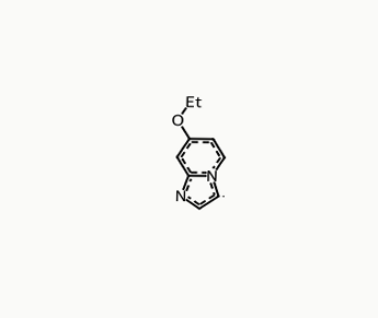 CCOc1ccn2[c]cnc2c1